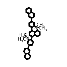 C[Si]1(C)c2cc(-c3ccc4ccccc4c3)ccc2-c2c1cc1c3c(cccc23)[Si](C)(C)c2cc(-c3ccc4ccccc4c3)ccc2-1